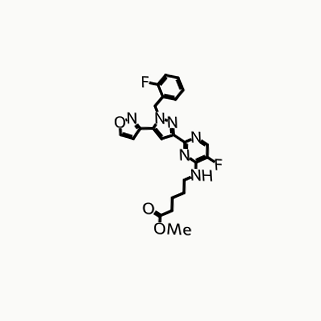 COC(=O)CCCCNc1nc(-c2cc(-c3ccon3)n(Cc3ccccc3F)n2)ncc1F